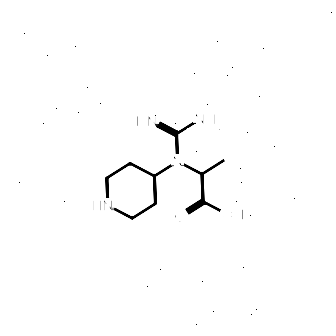 CC(C(=O)O)N(C(=N)N)C1CCNCC1